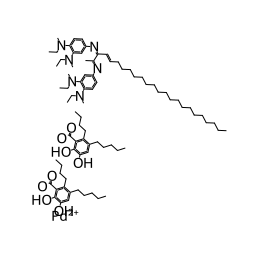 CCCCCCCCCCCCCCCCCCCC=CC(=Nc1ccc(N(C)CC)c(N(C)CC)c1)C(C)=Nc1ccc(N(C)CC)c(N(C)CC)c1.CCCCCc1cc(O)c(O)c(C(=O)[O-])c1CCCC.CCCCCc1cc(O)c(O)c(C(=O)[O-])c1CCCC.[Pd+2]